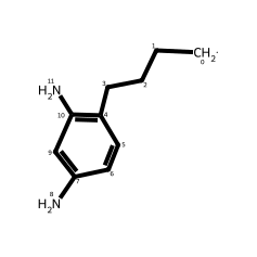 [CH2]CCCc1ccc(N)cc1N